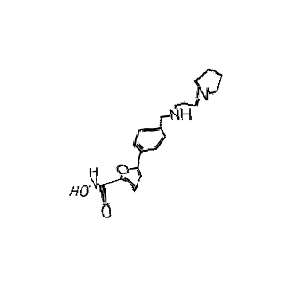 O=C(NO)c1ccc(-c2ccc(CNCCN3CCCC3)cc2)o1